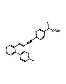 COC(=O)c1ccc(C#C/C=C/c2ccccc2-c2ccc(C)cc2)nc1